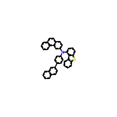 c1ccc2cc(-c3ccc(N(c4ccc5ccc6ccccc6c5c4)c4cccc5sc6ccccc6c45)cc3)ccc2c1